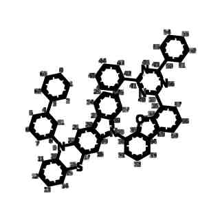 c1ccc(-c2cccc(N3c4ccccc4Sc4cc5c(cc43)c3ccccc3n5-c3cccc4c3oc3c(-c5nc(-c6ccccc6)nc(-c6ccccc6)n5)cccc34)c2)cc1